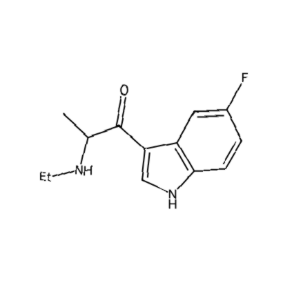 CCNC(C)C(=O)c1c[nH]c2ccc(F)cc12